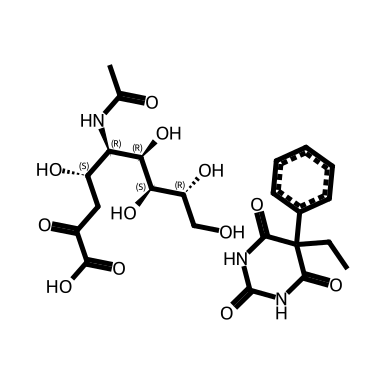 CC(=O)N[C@@H]([C@@H](O)[C@H](O)[C@H](O)CO)[C@@H](O)CC(=O)C(=O)O.CCC1(c2ccccc2)C(=O)NC(=O)NC1=O